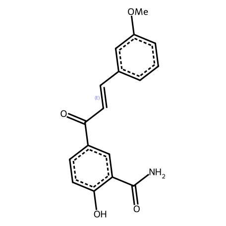 COc1cccc(/C=C/C(=O)c2ccc(O)c(C(N)=O)c2)c1